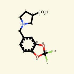 O=C(O)C1CCN(Cc2ccc3c(c2)OC(F)(F)O3)C1